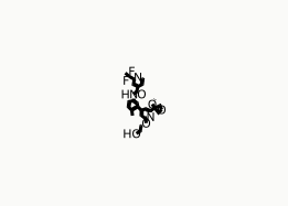 COC1(c2cc(-c3cc(NC(=O)c4ccnc(C(C)(F)F)c4)ccc3C)cc(OCCO)n2)COC1